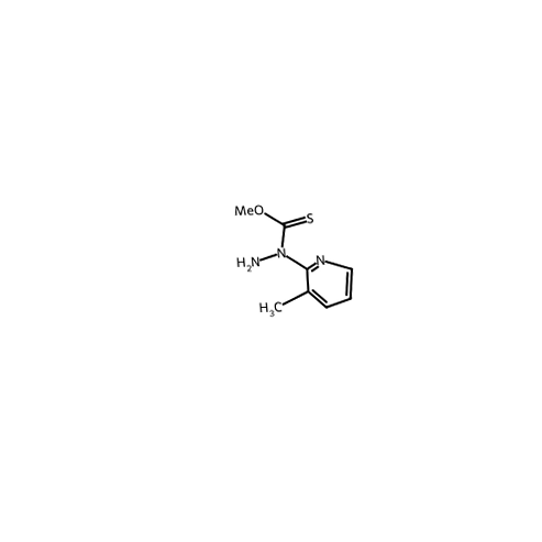 COC(=S)N(N)c1ncccc1C